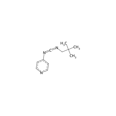 CC(C)(C)CN=C=Nc1ccncc1